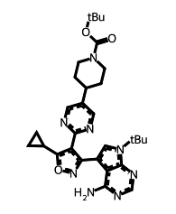 CC(C)(C)OC(=O)N1CCC(c2cnc(-c3c(-c4cn(C(C)(C)C)c5ncnc(N)c45)noc3C3CC3)nc2)CC1